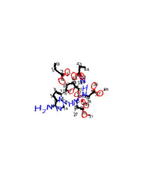 CCC(=O)O[C@H]1[C@H](c2ccc3c(N)ncnn23)O[C@](C#N)(COP(=O)(N[C@@H](C)C(=O)OC)N[C@@H](C)C(=O)OC)[C@H]1OC(=O)CC